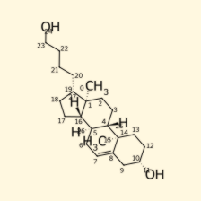 C[C@]12CC[C@H]3[C@@H](CC=C4C[C@@H](O)CC[C@@]43C)[C@@H]1CC[C@@H]2CCCCO